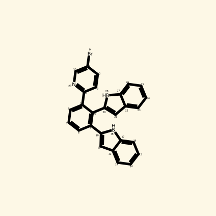 Brc1ccc(-c2cccc(C3=Cc4ccccc4B3)c2C2=Cc3ccccc3B2)nc1